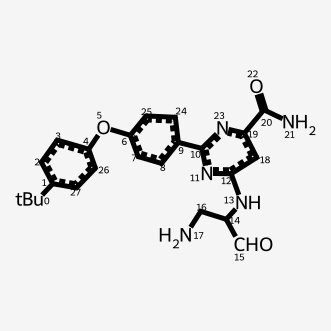 CC(C)(C)c1ccc(Oc2ccc(-c3nc(NC(C=O)CN)cc(C(N)=O)n3)cc2)cc1